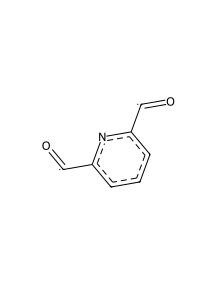 O=[C]c1cccc([C]=O)n1